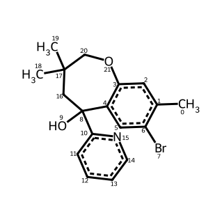 Cc1cc2c(cc1Br)C(O)(c1ccccn1)CC(C)(C)CO2